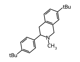 CN1Cc2cc(C(C)(C)C)ccc2CC1c1ccc(C(C)(C)C)cc1